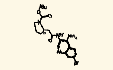 CC(C)(C)OC(=O)N1CCC[C@H]1CC(=O)Nc1cnc2cc(Br)ccc2c1N